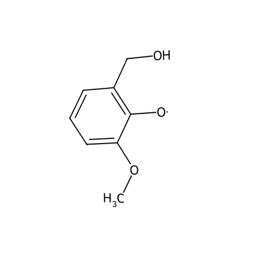 COc1cccc(CO)c1[O]